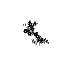 CC(C)(C)OP(=O)(Oc1ccc(CC(=O)OCN2C(=O)[C@@H](NC(=O)[C@H](CCC(F)(F)F)[C@H](CC3CC3)C(N)=O)N=C(c3ccccc3)c3ccccc32)c(F)c1)OC(C)(C)C